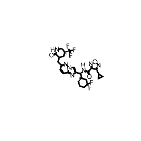 O=C(N[C@H](c1cn2nc(CC3C[C@H](C(F)(F)F)CNC3=O)ccc2n1)[C@@H]1CCCC(F)(F)C1)c1nonc1C1CC1